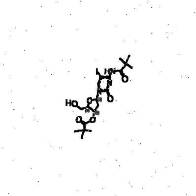 CC(C)(C)C(=O)Nc1nc(=O)n([C@H]2C[C@H](OC(=O)C(C)(C)C)[C@@H](CO)O2)cc1I